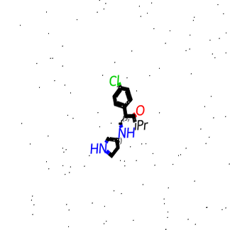 CC(C)C(=O)[C@H](CN[C@H]1CCNC1)c1ccc(Cl)cc1